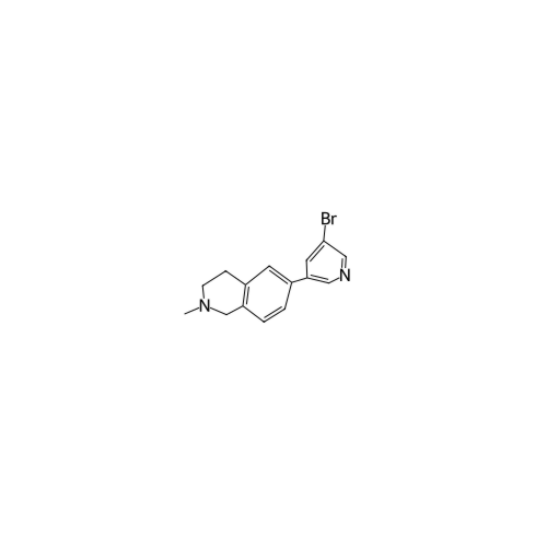 CN1CCc2cc(-c3cncc(Br)c3)ccc2C1